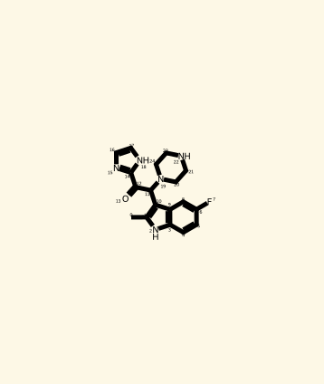 Cc1[nH]c2ccc(F)cc2c1C(C(=O)c1ncc[nH]1)N1CCNCC1